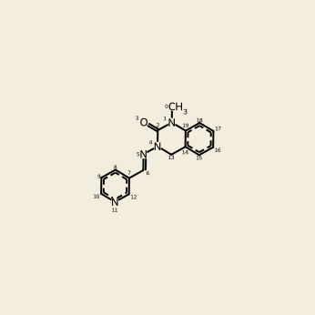 CN1C(=O)N(N=Cc2cccnc2)Cc2ccccc21